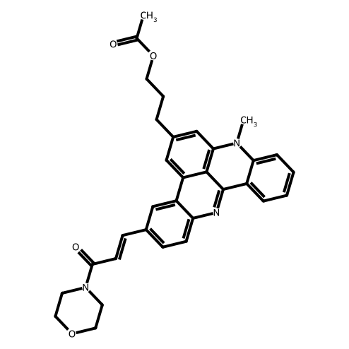 CC(=O)OCCCc1cc2c3c(nc4ccc(/C=C/C(=O)N5CCOCC5)cc4c3c1)-c1ccccc1N2C